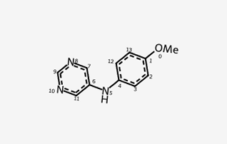 COc1ccc(Nc2cncnc2)cc1